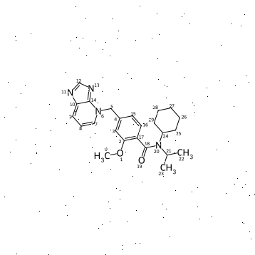 COc1cc(Cn2cccc3ncnc2-3)ccc1C(=O)N(C(C)C)C1CCCCC1